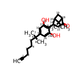 C#CCCCCC(C)(C)c1cc(O)c(C2CC(=O)C3CC2C3(C)C)c(O)c1